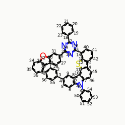 c1ccc(-c2ccc3c(c2)c2c4sc5c(-c6nc(-c7ccccc7)nc(-c7ccc8c(c7)oc7ccccc78)n6)cccc5c4ccc2n3-c2ccccc2)cc1